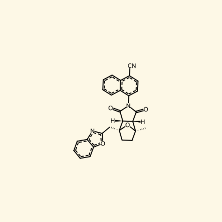 C[C@]12CC[C@](Cc3nc4ccccc4o3)(O1)[C@@H]1C(=O)N(c3ccc(C#N)c4ccccc34)C(=O)[C@@H]12